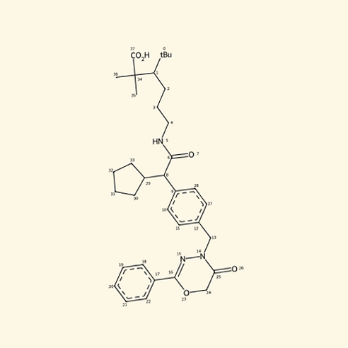 CC(C)(C)C(CCCNC(=O)C(c1ccc(CN2N=C(c3ccccc3)OCC2=O)cc1)C1CCCC1)C(C)(C)C(=O)O